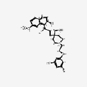 COc1ccc2ncc(Cl)c([C@H](F)CCC3(CO)CCN(CCOc4cc(F)cc(F)c4)CC3)c2c1